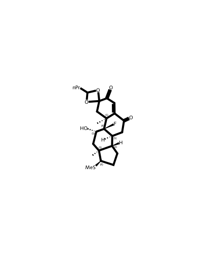 CCCC1OC2(C[C@@]3(C)C(=CC2=O)C(=O)C[C@H]2[C@@H]4CC[C@@H](SC)[C@@]4(C)C[C@H](O)[C@@]23F)O1